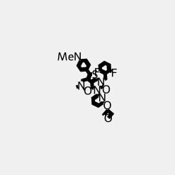 CNc1ccc(-c2sc3c(c2CN(C)C)c(=O)n(-c2cccc(OC4COC4)n2)c(=O)n3Cc2c(F)cccc2F)cc1